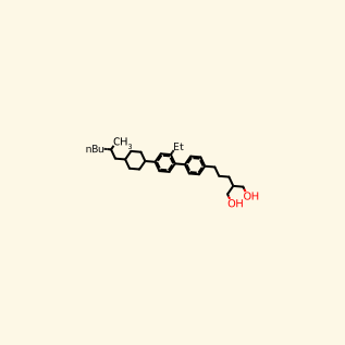 CCCCC(C)CC1CCC(c2ccc(-c3ccc(CCCC(CO)CO)cc3)c(CC)c2)CC1